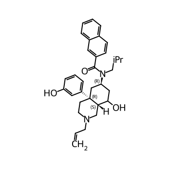 C=CCN1CC[C@@]2(c3cccc(O)c3)C[C@@H](N(CC(C)C)C(=O)c3ccc4ccccc4c3)CC(O)[C@@H]2C1